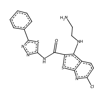 NCCNc1c(C(=O)Nc2nnc(-c3ccccc3)s2)sc2nc(Cl)ccc12